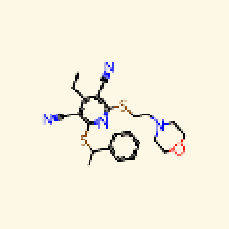 CCc1c(C#N)c(SCCN2CCOCC2)nc(SC(C)c2ccccc2)c1C#N